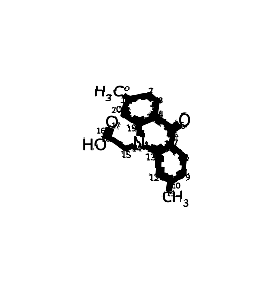 Cc1ccc2c(=O)c3ccc(C)cc3n(CC(=O)O)c2c1